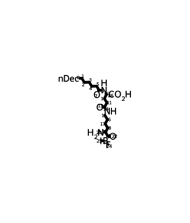 CCCCCCCCCCCCCCCC(=O)N[C@@H](CCC(=O)NCCCC[C@H](N)C(=O)B(F)I)C(=O)O